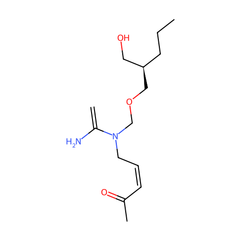 C=C(N)N(C/C=C\C(C)=O)COC[C@@H](CO)CCC